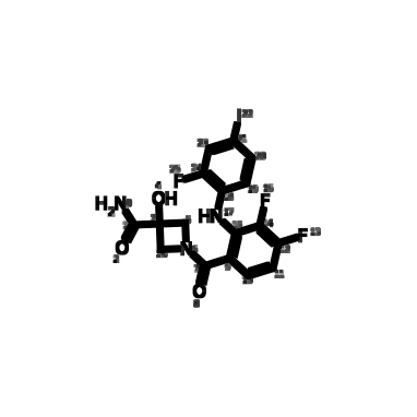 NC(=O)C1(O)CN(C(=O)c2ccc(F)c(F)c2Nc2ccc(I)cc2F)C1